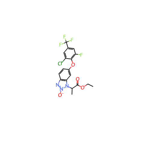 CCOC(=O)C(C)n1c2cc(Oc3c(F)cc(C(F)(F)F)cc3Cl)ccc2n[n+]1[O-]